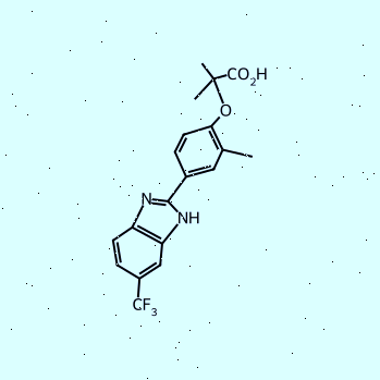 Cc1cc(-c2nc3ccc(C(F)(F)F)cc3[nH]2)ccc1OC(C)(C)C(=O)O